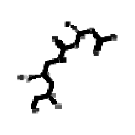 CCC(=O)O[C@H](OC(=O)NC[C@H](C[C@@H](CC)CC(C)C)C(=O)O)C(C)C